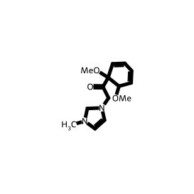 COC1C=CC=CC1(OC)C(=O)CN1C=CN(C)C1